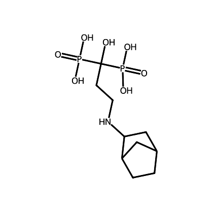 O=P(O)(O)C(O)(CCNC1CC2CCC1C2)P(=O)(O)O